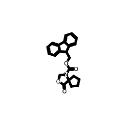 O=C(OCC1c2ccccc2-c2ccccc21)N1COC(=O)C12CCCC2